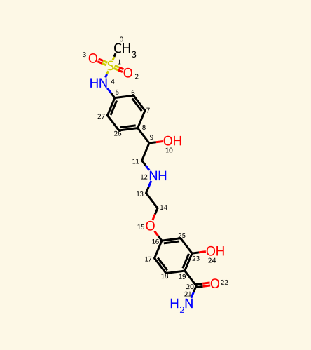 CS(=O)(=O)Nc1ccc(C(O)CNCCOc2ccc(C(N)=O)c(O)c2)cc1